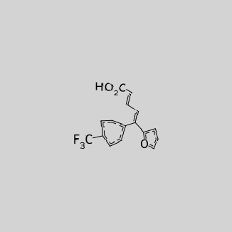 O=C(O)/C=C/C=C(\c1ccc(C(F)(F)F)cc1)c1ccco1